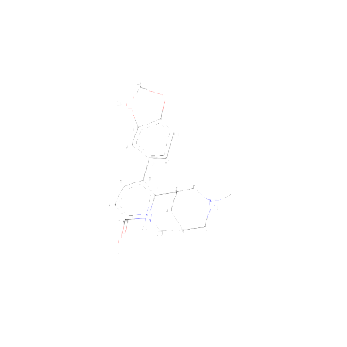 CN1CC2CC(C1)c1c(-c3ccc4c(c3)OCO4)ccc(=O)n1C2